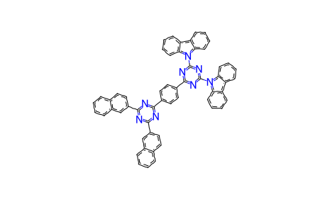 c1ccc2cc(-c3nc(-c4ccc(-c5nc(-n6c7ccccc7c7ccccc76)nc(-n6c7ccccc7c7ccccc76)n5)cc4)nc(-c4ccc5ccccc5c4)n3)ccc2c1